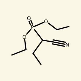 CCOP(=O)(OCC)C(C#N)CC